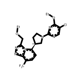 CCOCc1nnc2c(C(F)(F)F)ccc([C@H]3CCN(c4ncc(Cl)c(OCC)n4)C3)n12